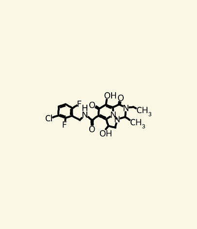 CCN1C(=O)c2c(O)c(=O)c(C(=O)NCc3c(F)ccc(Cl)c3F)c3n2N(CC3O)C1C